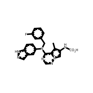 Cc1c(NC(=O)O)cn2ncnc(N(Cc3cccc(F)c3)c3ccc4[nH]ncc4c3)c12